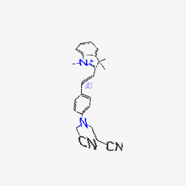 C[N+]1=C(/C=C/c2ccc(N(CC#N)CCC#N)cc2)C(C)(C)c2ccccc21